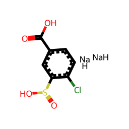 O=C(O)c1ccc(Cl)c(S(=O)O)c1.[NaH].[NaH]